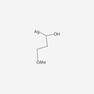 COCC[CH](O)[Ag]